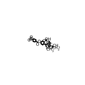 CN(CC(c1ccc(OC(=O)c2ccc([N+](=O)[O-])cc2)cc1)c1nccn1C(=O)O)C(=O)OC(C)(C)C